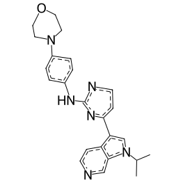 CC(C)n1cc(-c2ccnc(Nc3ccc(N4CCOCC4)cc3)n2)c2ccncc21